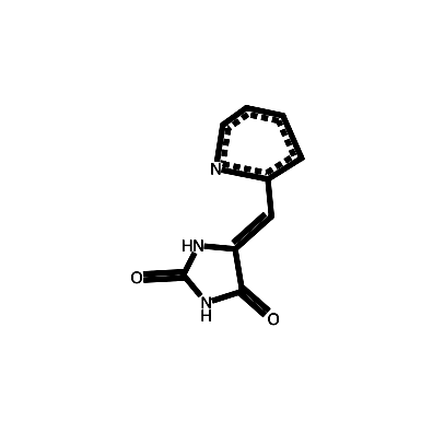 O=C1NC(=O)C(=Cc2ccccn2)N1